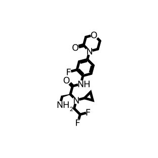 NC[C@@H](C(=O)Nc1ccc(N2CCOCC2=O)cc1F)N(CC(F)F)C1CC1